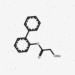 COCC(=O)Oc1ccccc1-c1ccccc1